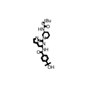 CC(C)(C)OC(=O)N[C@@H]1CCCN(c2nc(NC(=O)c3ccc(C(C)(C)O)cc3)cc3ccnn23)C1